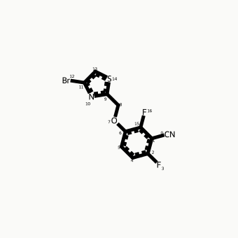 N#Cc1c(F)ccc(OCc2nc(Br)cs2)c1F